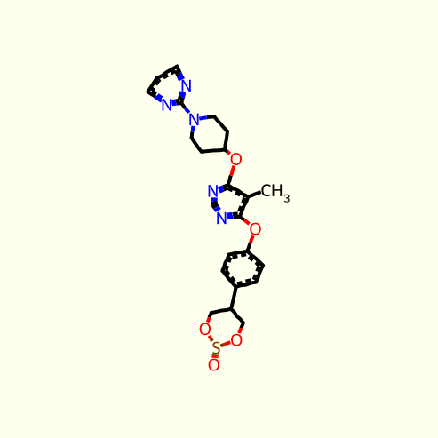 Cc1c(Oc2ccc(C3COS(=O)OC3)cc2)ncnc1OC1CCN(c2ncccn2)CC1